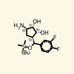 CC(C)(C)[Si](C)(C)OC(c1ccc(F)c(F)c1)[C@H]1C[C@@H](N)[C@H](O)[C@@H]1O